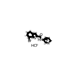 Cl.O=C(NC1CN2CCC1CC2)c1cc2cccc(Br)c2s1